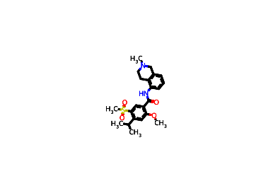 COc1cc(C(C)C)c(S(C)(=O)=O)cc1C(=O)Nc1cccc2c1CCN(C)C2